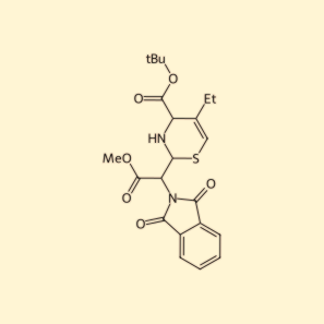 CCC1=CSC(C(C(=O)OC)N2C(=O)c3ccccc3C2=O)NC1C(=O)OC(C)(C)C